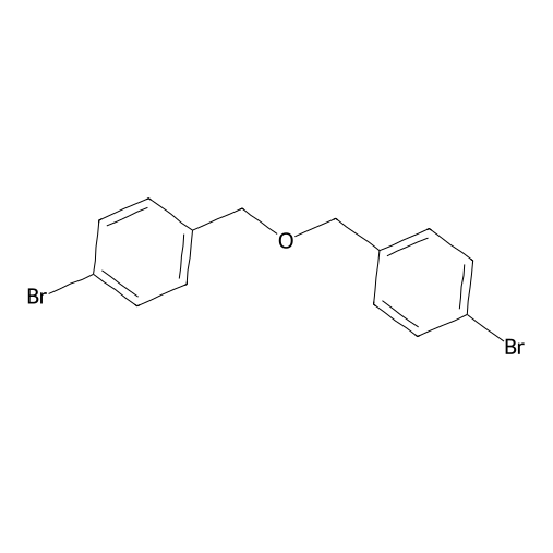 Brc1ccc(COCc2ccc(Br)cc2)cc1